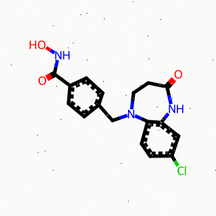 O=C1CCN(Cc2ccc(C(=O)NO)cc2)c2ccc(Cl)cc2N1